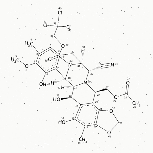 COc1c(C)cc2c(c1O)[C@@H]1[C@@H]3[C@H](O)c4c(O)c(C)c5c(c4[C@H](COC(C)=O)N3[C@@H](C#N)[C@H](C2)N1C(=O)OCC(Cl)(Cl)Cl)OCO5